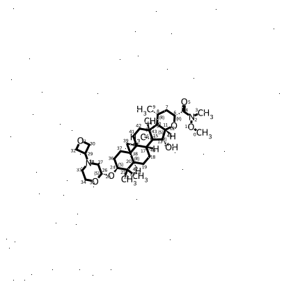 CON(C)C(=O)[C@H]1C[C@@H](C)C2[C@H](O1)[C@H](O)[C@@]1(C)[C@@H]3CC[C@H]4C(C)(C)[C@@H](O[C@H]5CN(C6COC6)CCO5)CCC45C[C@@]35CC[C@]21C